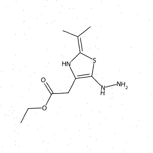 CCOC(=O)CC1=C(NN)SC(=C(C)C)N1